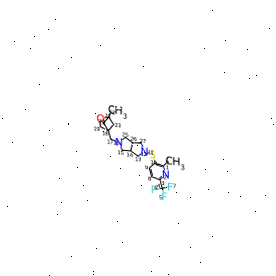 Cc1nc(C(F)(F)F)ccc1SN1CC2CN(CC34COC(C)(C3)C4)CC2C1